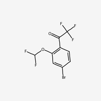 O=C(c1ccc(Br)cc1OC(F)F)C(F)(F)F